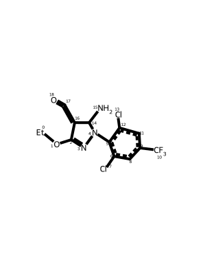 CCOC1=NN(c2c(Cl)cc(C(F)(F)F)cc2Cl)C(N)C1=C=O